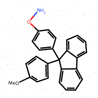 COc1ccc(C2(c3ccc(ON)cc3)c3ccccc3-c3ccccc32)cc1